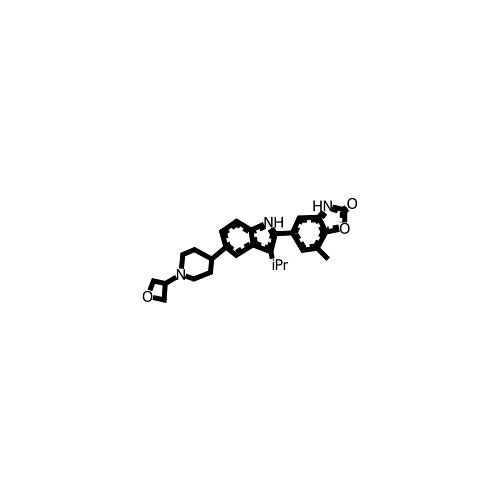 Cc1cc(-c2[nH]c3ccc(C4CCN(C5COC5)CC4)cc3c2C(C)C)cc2[nH]c(=O)oc12